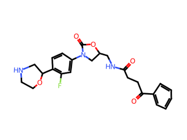 O=C(CCC(=O)c1ccccc1)NCC1CN(c2ccc(C3CNCCO3)c(F)c2)C(=O)O1